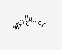 O=C(O)CCNC(=O)NC1=CC2=CNSN2C=C1